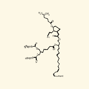 CC/C=C\CC1C(CC(=O)OCCC(CCCCCCCC/C=C\C/C=C\CCCCC)OC(=O)CCCCC(COC(=O)CCCCC)COC(=O)CCCCC)CCC1OC(=O)CCCN(C)C